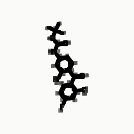 CC(C)(C)OC(=O)Nc1ccc(C(=O)c2ccc(F)cc2Cl)c(Br)c1